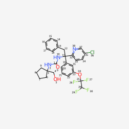 O=C(NC1(CO)CCCC1)NC(Cc1ccccc1)(c1cccc(OC(F)(F)C(F)F)c1)c1ccc(Cl)cn1